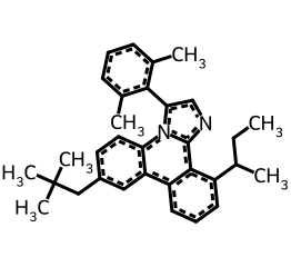 CCC(C)c1cccc2c3cc(CC(C)(C)C)ccc3n3c(-c4c(C)cccc4C)cnc3c12